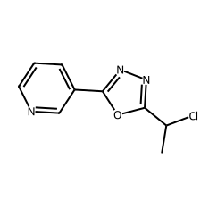 CC(Cl)c1nnc(-c2cccnc2)o1